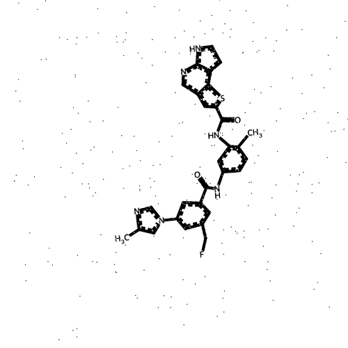 Cc1cn(-c2cc(CF)cc(C(=O)Nc3ccc(C)c(NC(=O)c4cc5cnc6[nH]ccc6c5s4)c3)c2)cn1